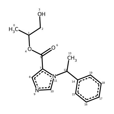 CC(CO)OC(=O)c1cncn1C(C)c1ccccc1